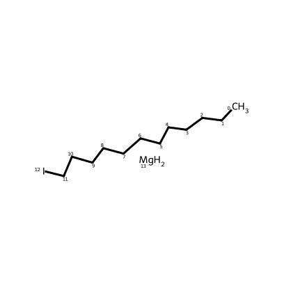 CCCCCCCCCCCCI.[MgH2]